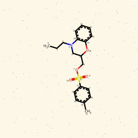 CCCN1CC(COS(=O)(=O)c2ccc(C)cc2)Oc2ccccc21